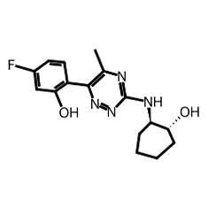 Cc1nc(N[C@@H]2CCCC[C@H]2O)nnc1-c1ccc(F)cc1O